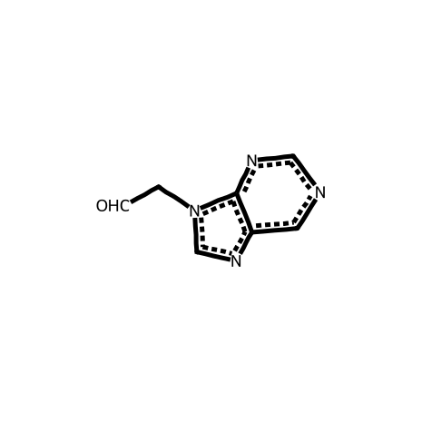 O=CCn1cnc2cncnc21